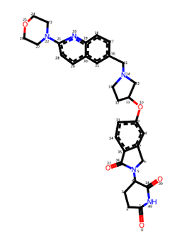 O=C1CCC(N2Cc3cc(OC4CCN(Cc5ccc6nc(N7CCOCC7)ccc6c5)C4)ccc3C2=O)C(=O)N1